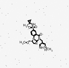 CN/C=C(\C=N)CN1C(=O)c2cc(S(=O)(=O)NC3(C)CC3)ccc2N2C1=NC[C@H]2COC